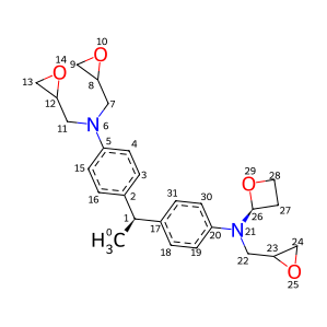 C[C@@H](c1ccc(N(CC2CO2)CC2CO2)cc1)c1ccc(N(CC2CO2)[C@@H]2CCO2)cc1